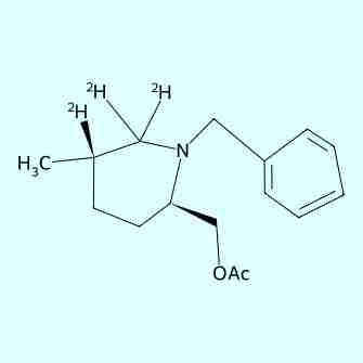 [2H]C1([2H])N(Cc2ccccc2)[C@@H](COC(C)=O)CC[C@]1([2H])C